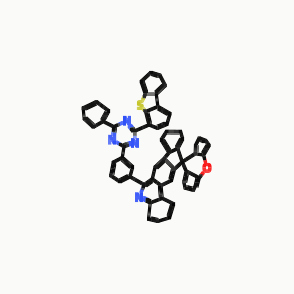 c1ccc(-c2nc(-c3cccc(-c4nc5ccccc5c5cc6c(cc45)-c4ccccc4C64c5ccccc5Oc5ccccc54)c3)nc(-c3cccc4c3sc3ccccc34)n2)cc1